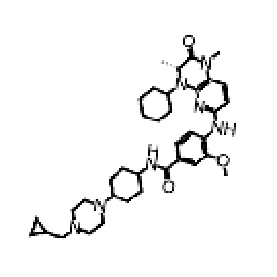 COc1cc(C(=O)NC2CCC(N3CCN(CC4CC4)CC3)CC2)ccc1Nc1ccc2c(n1)N(C1CCCCC1)[C@H](C)C(=O)N2C